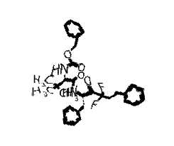 CC(C)(C)[C@H](NC(=O)OCc1ccccc1)C(=O)N[C@@H](Cc1ccccc1)C(=O)C(F)(F)CCc1ccccc1